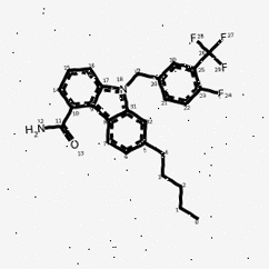 CCCCCc1c[c]c2c3c(C(N)=O)cccc3n(Cc3ccc(F)c(C(F)(F)F)c3)c2c1